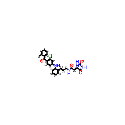 Cc1ccccc1C(=O)c1ccc(Nc2ccccc2C=CCNC(=O)C=C2NC(=O)NC2=O)cc1Cl